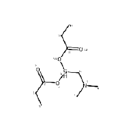 CCC(=O)O[SiH](CN(C)C)OC(=O)CC